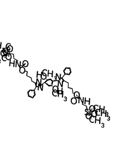 COc1cc(-c2nc(-c3ccccc3)c(CCCCOC(=O)NCCC[Si](OC)(OC)OC)[nH]2)c(OC)cc1-c1nc(-c2ccccc2)c(CCCCOC(=O)NCCC[Si](OC)(OC)OC)[nH]1